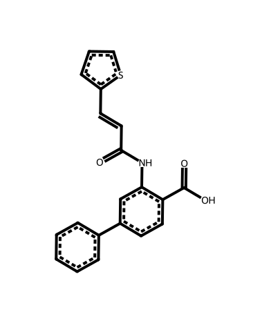 O=C(/C=C/c1cccs1)Nc1cc(-c2ccccc2)ccc1C(=O)O